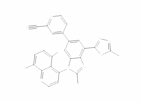 Cc1nnc(-c2cc(-c3ccnc(C#N)c3)cc3c2nc(C)n3-c2ccnc3c(Cl)ccc(F)c23)[nH]1